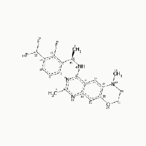 Cc1nc(N[C@H](C)c2cccc(C(F)F)c2F)c2cc3c(cc2n1)OCCN3C